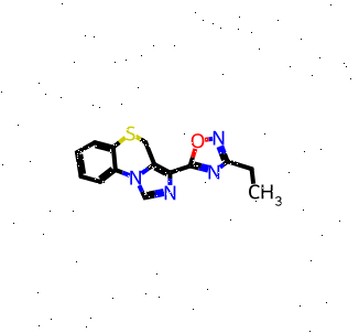 CCc1noc(-c2ncn3c2CSc2ccccc2-3)n1